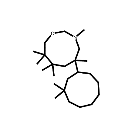 CN1COCC(C)(C)C(C)(C)CC(C)(C2CCCCCCC(C)(C)C2)C1